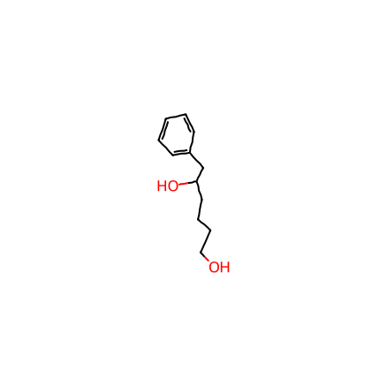 OCCCCC(O)Cc1ccccc1